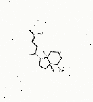 CC(C/C=[N+](/C)[O-])[C@H]1CC[C@H]2[C@@H](O)CCC[C@]12C